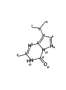 Cc1nc2c(C(C)C)cnn2c(=O)[nH]1